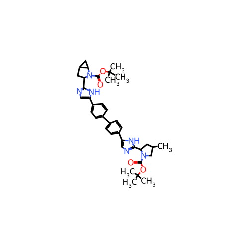 CC1CC(c2ncc(-c3ccc(-c4ccc(-c5cnc(C6CC7CC7N6C(=O)OC(C)(C)C)[nH]5)cc4)cc3)[nH]2)N(C(=O)OC(C)(C)C)C1